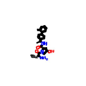 Cc1ccccc1-c1ccc([C@H](C)NC(=O)[C@@H]2C[C@@H](O)CN2C(=O)[C@@H](N)C(C)(C)C)cc1